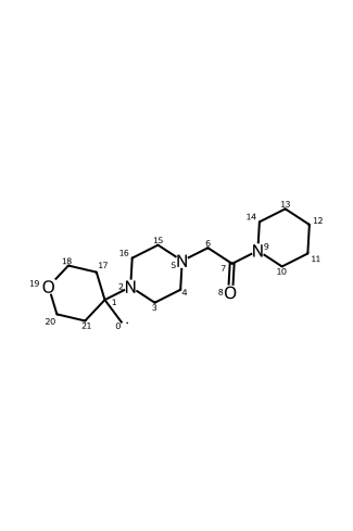 [CH2]C1(N2CCN(CC(=O)N3CCCCC3)CC2)CCOCC1